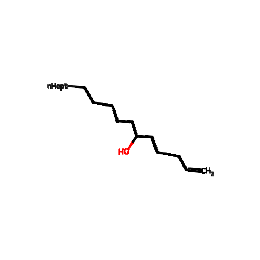 C=CCCCC(O)CCCCCCCCCCCC